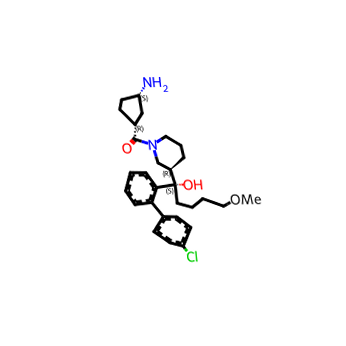 COCCCC[C@@](O)(c1ccccc1-c1ccc(Cl)cc1)[C@@H]1CCCN(C(=O)[C@@H]2CC[C@H](N)C2)C1